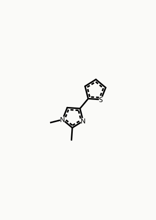 Cc1nc(-c2cccs2)cn1C